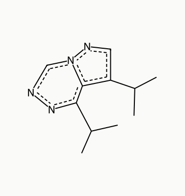 CC(C)c1cnn2cnnc(C(C)C)c12